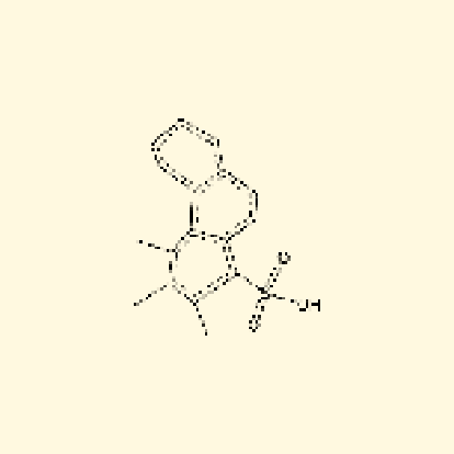 Cc1c(C)c(C)c2c(ccc3ccccc32)c1S(=O)(=O)O